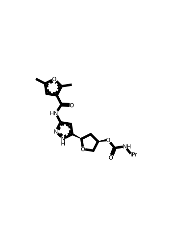 Cc1cc(C(=O)Nc2cc([C@H]3C[C@@H](OC(=O)NC(C)C)CO3)[nH]n2)c(C)o1